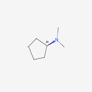 CN(C)[C@@H]1C[CH]CC1